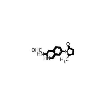 C[C@@H]1CCC(=O)N1c1ccc2c(c1)=CNC(NC=O)C=2